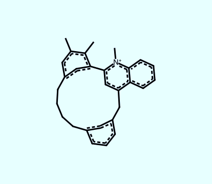 Cc1cc2cc(c1C)-c1cc(c3ccccc3[n+]1C)Cc1cccc(c1)CCCC2